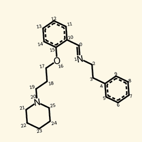 C(=NCCc1ccccc1)c1ccccc1OCCCN1CCCCC1